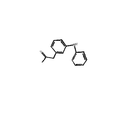 CC(=O)Cc1cccc(Nc2ccccc2)c1